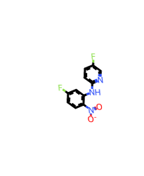 O=[N+]([O-])c1ccc(F)cc1Nc1ccc(F)cn1